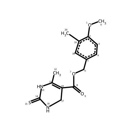 COc1ccc(COC(=O)C2=C(C)NC(=S)NC2)cc1C